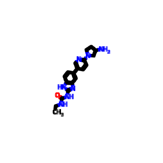 CCNC(=O)Nc1nc2cc(-c3ccc(N4CCC(N)C4)nc3)ccc2[nH]1